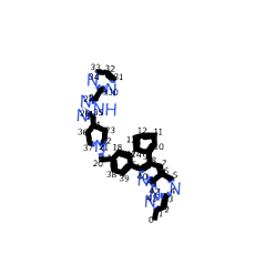 Cc1cc2ncc3cc(-c4ccccc4)c(-c4ccc(CN5CCC(c6nnc(-c7ncccn7)[nH]6)CC5)cc4)nc3n2n1